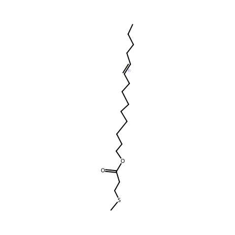 CCCC/C=C/CCCCCCCCOC(=O)CCSC